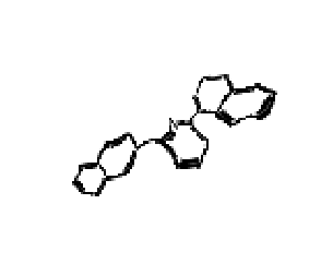 c1cc(-c2ccc3ccccc3c2)nc(-c2cccc3ccccc23)c1